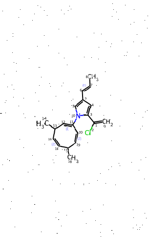 C=C(Cl)c1cc(/C=C/C)cn1C1=C/C(C)/C=C\C(C)/C=C\1